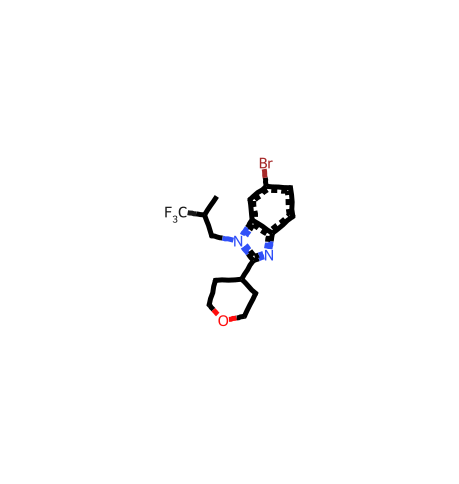 CC(Cn1c(C2CCOCC2)nc2ccc(Br)cc21)C(F)(F)F